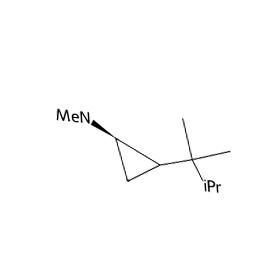 CN[C@@H]1CC1C(C)(C)C(C)C